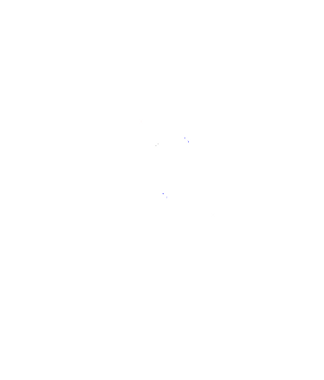 O=C1N=CC(c2ccccc2)=NC1c1ccccc1